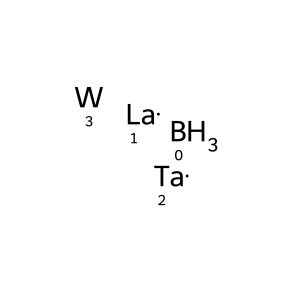 B.[La].[Ta].[W]